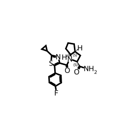 NC(=O)[C@@H]1C[C@@H]2CCC[C@@H]2N1C(=O)c1nc(C2CC2)sc1-c1ccc(F)cc1